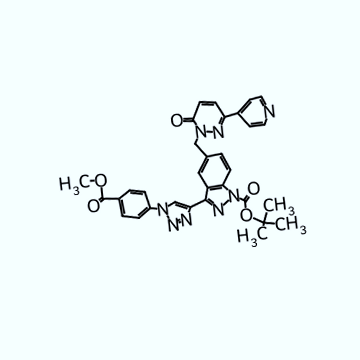 COC(=O)c1ccc(-n2cc(-c3nn(C(=O)OC(C)(C)C)c4ccc(Cn5nc(-c6ccncc6)ccc5=O)cc34)nn2)cc1